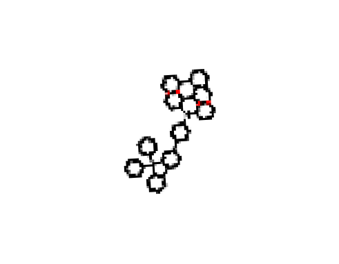 c1ccc(-c2cccc3cccc(-c4ccccc4N(c4ccccc4)c4ccc(-c5ccc6c(c5)C(c5ccccc5)(c5ccccc5)c5ccccc5-6)cc4)c23)cc1